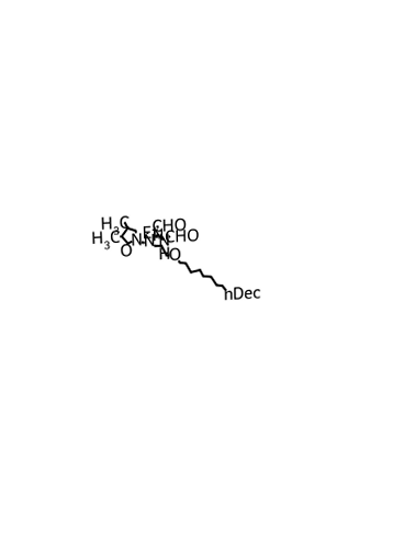 CCCCCCCCCCCCCCCCCCOCCC[N+](CC)(CN1CC(C)C(C)C1=O)N(C=O)NC=O